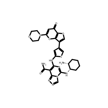 NC(=O)c1c(Nc2cc(-c3coc4c(=O)cc(N5CCOCC5)oc34)cs2)nc(N[C@H]2CCCC[C@H]2N)n2cnnc12